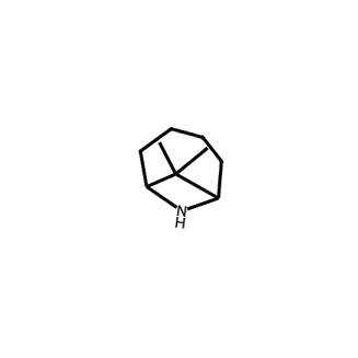 CC1(C)C2CCCCC1N2